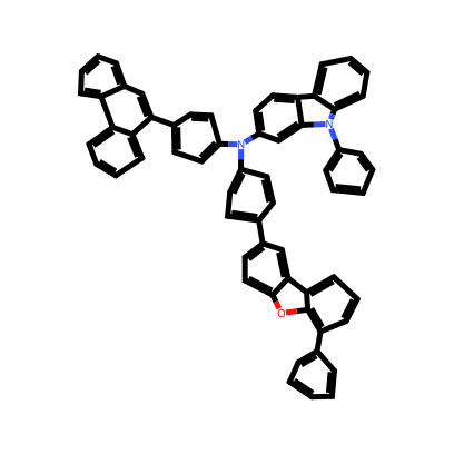 c1ccc(-c2cccc3c2oc2ccc(-c4ccc(N(c5ccc(-c6cc7ccccc7c7ccccc67)cc5)c5ccc6c7ccccc7n(-c7ccccc7)c6c5)cc4)cc23)cc1